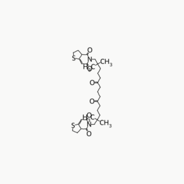 CC(C)(CCCC(=O)CCCC(=O)CCCC(C)(C)CN1C(=O)C=C2SCCC2C1=O)CN1C(=O)C=C2SCCC2C1=O